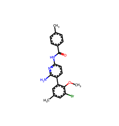 COc1c(Br)cc(C)cc1-c1ccc(NC(=O)c2ccc(C)cc2)nc1N